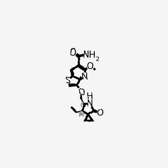 CC[C@H]1[C@@H](COc2csc3cc(C(N)=O)c(OC)nc23)NC(=O)C12CC2